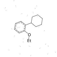 CCOc1ccccc1C1CCCCC1